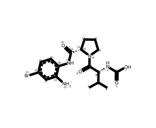 CC(C)[C@@H](NC(=O)O)C(=O)N1CCC[C@H]1C(=O)Nc1ccc(Br)cc1N